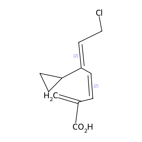 C=C(/C=C\C(=C/CCl)C1CC1)C(=O)O